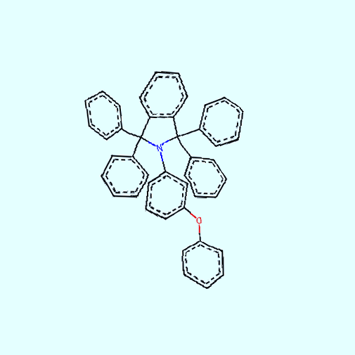 c1ccc(Oc2cccc(N3C(c4ccccc4)(c4ccccc4)c4ccccc4C3(c3ccccc3)c3ccccc3)c2)cc1